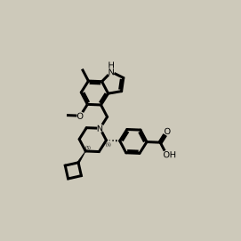 COc1cc(C)c2[nH]ccc2c1CN1CC[C@H](C2CCC2)C[C@H]1c1ccc(C(=O)O)cc1